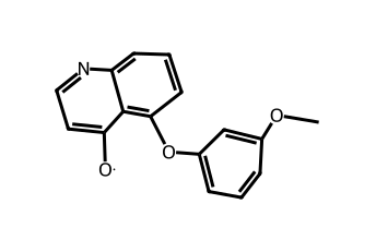 COc1cccc(Oc2cccc3nccc([O])c23)c1